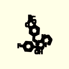 OC1(c2ccc(F)cc2)C[n+]2cccnc2N1Cc1ccc2c(c1)OCO2.[Br-]